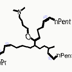 CCC/C=C/C=C\CCCC(CCC(C)/C=C\CCCCC)C(CCC/C=C\CCCCC)OCCCCN(C)C